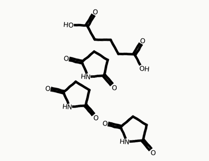 O=C(O)CCCC(=O)O.O=C1CCC(=O)N1.O=C1CCC(=O)N1.O=C1CCC(=O)N1